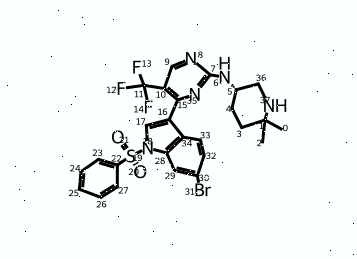 CC1(C)CC[C@H](Nc2ncc(C(F)(F)F)c(-c3cn(S(=O)(=O)c4ccccc4)c4cc(Br)ccc34)n2)CN1